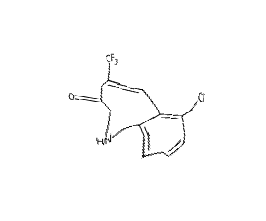 O=c1[nH]c2cccc(Cl)c2cc1C(F)(F)F